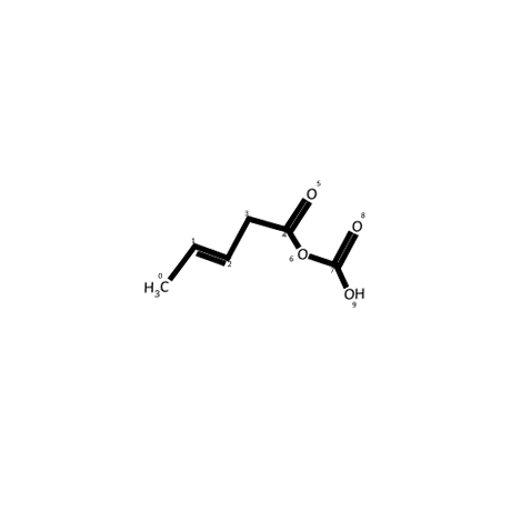 CC=CCC(=O)OC(=O)O